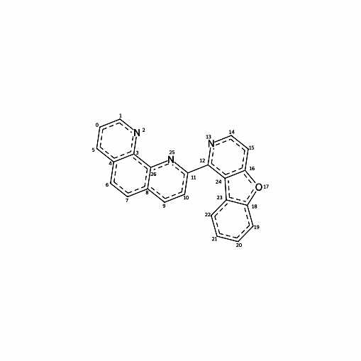 c1cnc2c(c1)ccc1ccc(-c3nccc4oc5ccccc5c34)nc12